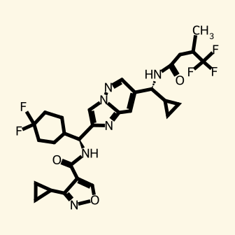 CC(CC(=O)N[C@@H](c1cnn2cc([C@@H](NC(=O)c3conc3C3CC3)C3CCC(F)(F)CC3)nc2c1)C1CC1)C(F)(F)F